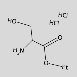 CCOC(=O)C(N)CO.Cl.Cl